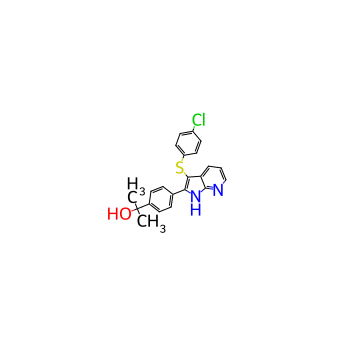 CC(C)(O)c1ccc(-c2[nH]c3ncccc3c2Sc2ccc(Cl)cc2)cc1